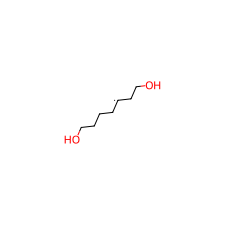 OCC[CH]CCCCO